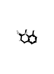 Cc1c[c]cc2c1N(C)C(=O)CC2